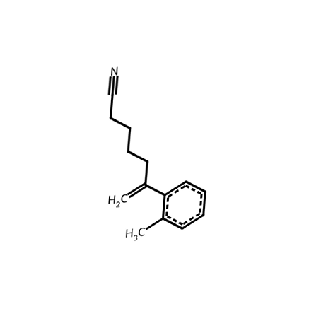 C=C(CCCCC#N)c1ccccc1C